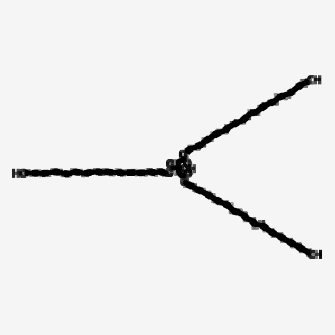 C#CC#CC#CC#CC#CC#CC#CC#CC#CC#CC#CC#CC#CC#COC(=O)CC(O)(CC(=O)OC#CC#CC#CC#CC#CC#CC#CC#CC#CC#CC#CC#CC#CC#C)C(=O)OC#CC#CC#CC#CC#CC#CC#CC#CC#CC#CC#CC#CC#CC#C